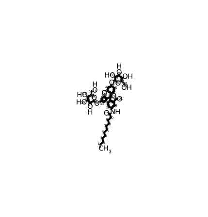 CCCCCCCCCCCC(=O)Nc1ccc2c(c1)C(=O)OC21c2ccc(O[C@@H]3O[C@H](CO)[C@@H](O)[C@H](O)[C@H]3O)cc2Oc2cc(O[C@@H]3O[C@H](CO)[C@@H](O)[C@H](O)[C@H]3O)ccc21